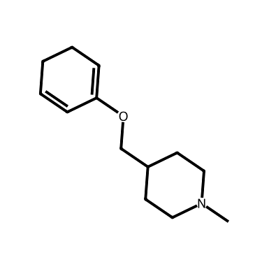 CN1CCC(COC2=CCCC=C2)CC1